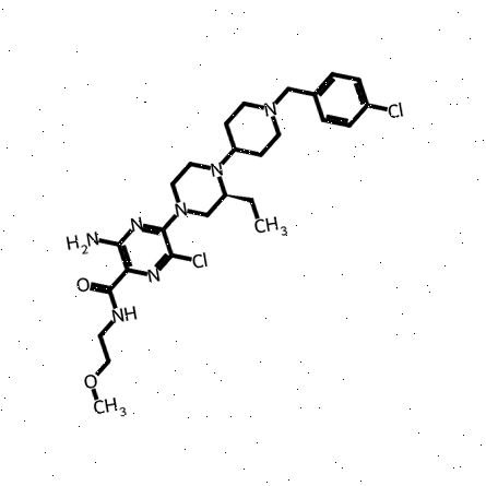 CC[C@H]1CN(c2nc(N)c(C(=O)NCCOC)nc2Cl)CCN1C1CCN(Cc2ccc(Cl)cc2)CC1